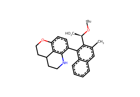 Cc1cc2ccccc2c(-c2ccc3c4c2NCCC4CCO3)c1[C@H](OC(C)(C)C)C(=O)O